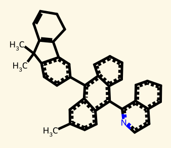 Cc1ccc2c(-c3nccc4ccccc34)c3ccccc3c(-c3ccc4c(c3)C3=C(C=CCC3)C4(C)C)c2c1